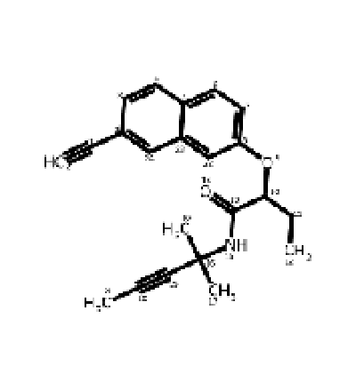 C#Cc1ccc2ccc(OC(CC)C(=O)NC(C)(C)C#CC)cc2c1